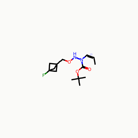 C/C=C\N(NOCC12CC(F)(C1)C2)C(=O)OC(C)(C)C